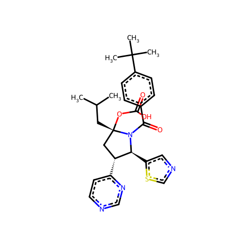 CC(C)C[C@]1(OC(=O)O)C[C@@H](c2ccncn2)[C@H](c2cncs2)N1C(=O)c1ccc(C(C)(C)C)cc1